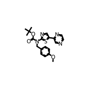 COc1ccc(CN(C(=O)OC(C)(C)C)c2ncc(-c3cnccn3)s2)cc1